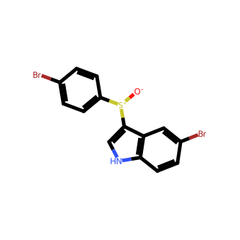 [O-][S+](c1ccc(Br)cc1)c1c[nH]c2ccc(Br)cc12